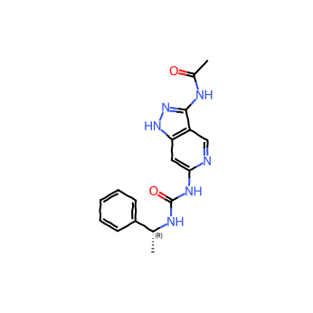 CC(=O)Nc1n[nH]c2cc(NC(=O)N[C@H](C)c3ccccc3)ncc12